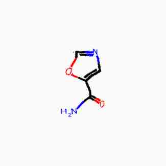 NC(=O)c1cn[c]o1